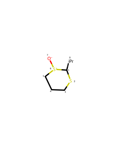 CC(C)C1SCCC[S+]1[O-]